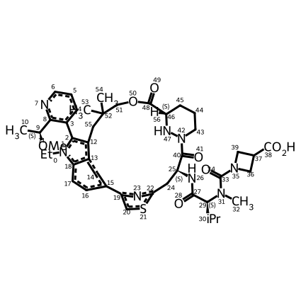 CCn1c(-c2cccnc2[C@H](C)OC)c2c3cc(ccc31)-c1csc(n1)C[C@H](NC(=O)[C@H](C(C)C)N(C)C(=O)N1CC(C(=O)O)C1)C(=O)N1CCC[C@H](N1)C(=O)OCC(C)(C)C2